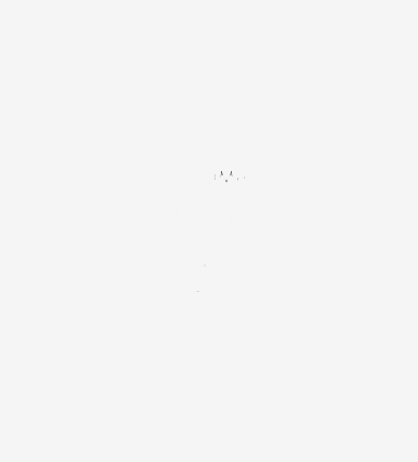 COc1ccc2c(c1)C=C[CH]2